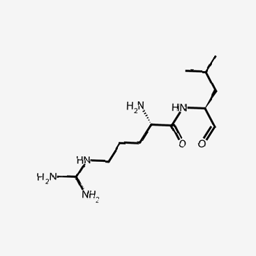 CC(C)C[C@@H](C=O)NC(=O)[C@@H](N)CCCNC(N)N